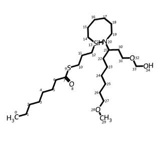 CCCCCCCC(=O)SCCC[SiH]1CCCCCCN1C(CCCCCCOC)CCOCO